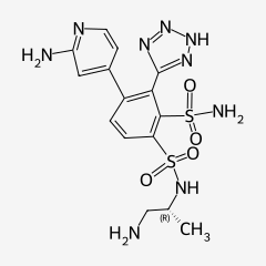 C[C@H](CN)NS(=O)(=O)c1ccc(-c2ccnc(N)c2)c(-c2nn[nH]n2)c1S(N)(=O)=O